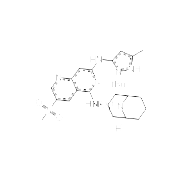 Cc1cc(Nc2cc3ncc(S(C)(=O)=O)cc3c(N[C@H]3C[C@@H]4CCC[C@](C(C)(C)C)(C3)N4C(=O)O)n2)n[nH]1